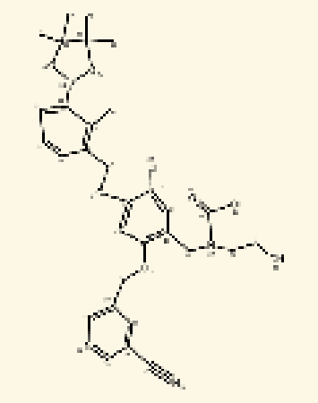 Cc1c(COc2cc(OCc3cncc(C#N)c3)c(CN(CCO)C(=O)O)cc2Cl)cccc1B1OC(C)(C)C(C)(C)O1